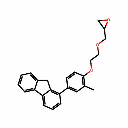 Cc1cc(-c2cccc3c2Cc2ccccc2-3)ccc1OCCOCC1CO1